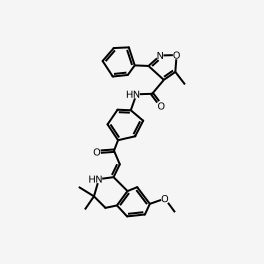 COc1ccc2c(c1)C(=CC(=O)c1ccc(NC(=O)c3c(-c4ccccc4)noc3C)cc1)NC(C)(C)C2